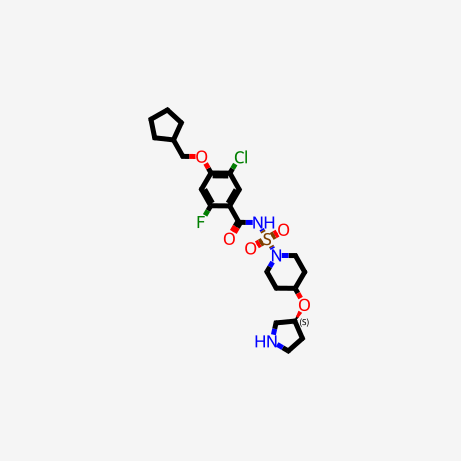 O=C(NS(=O)(=O)N1CCC(O[C@H]2CCNC2)CC1)c1cc(Cl)c(OCC2CCCC2)cc1F